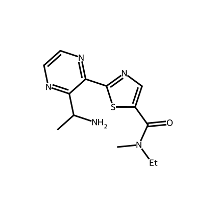 CCN(C)C(=O)c1cnc(-c2nccnc2C(C)N)s1